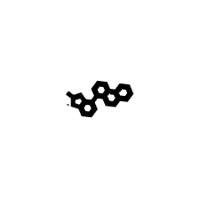 CC1=Cc2c(cccc2-c2cccc3c2ccc2ccccc23)[CH]1